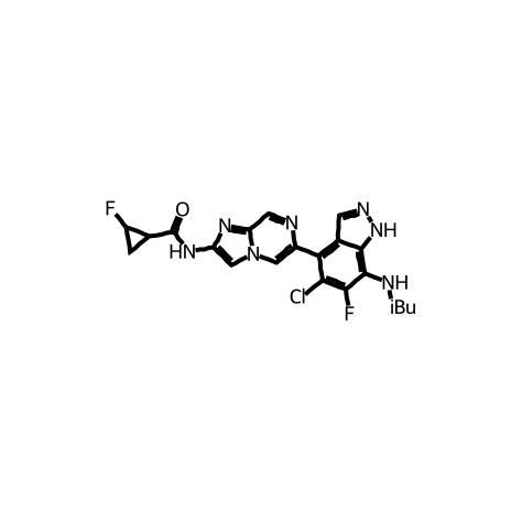 CCC(C)Nc1c(F)c(Cl)c(-c2cn3cc(NC(=O)C4CC4F)nc3cn2)c2cn[nH]c12